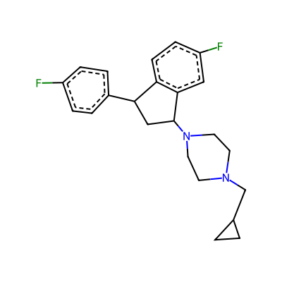 Fc1ccc(C2CC(N3CCN(CC4CC4)CC3)c3cc(F)ccc32)cc1